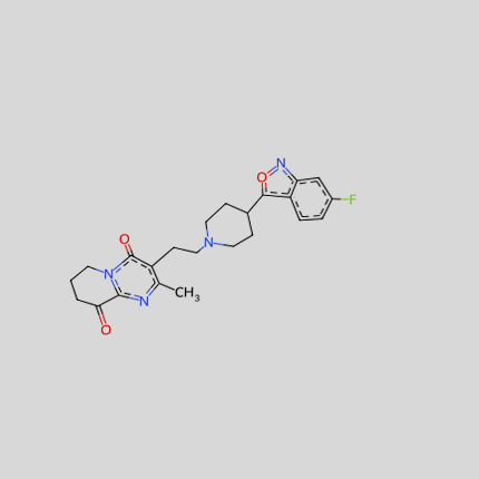 Cc1nc2n(c(=O)c1CCN1CCC(c3onc4cc(F)ccc34)CC1)CCCC2=O